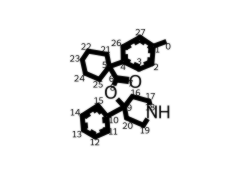 Cc1ccc(C2(C(=O)OC3(c4ccccc4)CCNCC3)CCCCC2)cc1